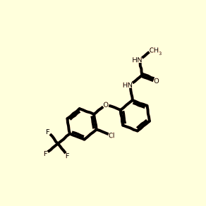 CNC(=O)Nc1ccccc1Oc1ccc(C(F)(F)F)cc1Cl